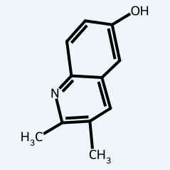 Cc1cc2cc(O)ccc2nc1C